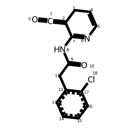 O=C=C1CC=CN=C1NC(=O)Cc1ccccc1Cl